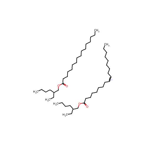 CCCCCCCC/C=C\CCCCCCCC(=O)OCC(CC)CCCC.CCCCCCCCCCCCCCCC(=O)OCC(CC)CCCC